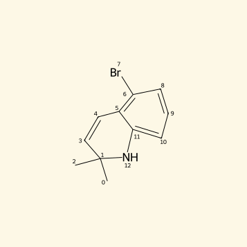 CC1(C)C=Cc2c(Br)cccc2N1